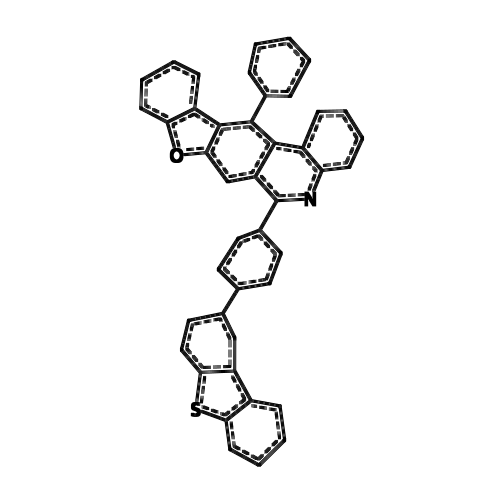 c1ccc(-c2c3c(cc4c(-c5ccc(-c6ccc7sc8ccccc8c7c6)cc5)nc5ccccc5c24)oc2ccccc23)cc1